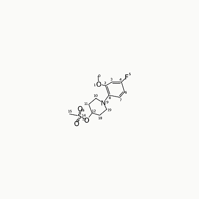 COc1cc(F)ccc1N1CCC(OS(C)(=O)=O)CC1